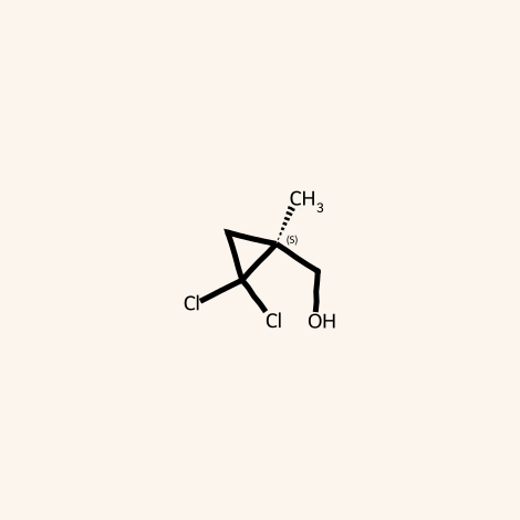 C[C@@]1(CO)CC1(Cl)Cl